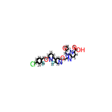 O=C(O)c1ccc2nc(COc3cc(-c4cccc(OCc5ccc(Cl)cc5F)n4)c(F)cn3)n(C[C@@H]3CCO3)c2n1